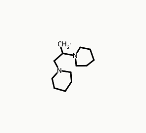 [CH2]C(CN1CCCCC1)N1CCCCC1